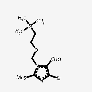 CSc1nc(Br)c(C=O)n1COCC[Si](C)(C)C